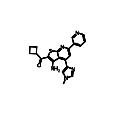 Cn1cnc(-c2cc(-c3cccnc3)nc3sc(C(=O)C4CCC4)c(N)c23)c1